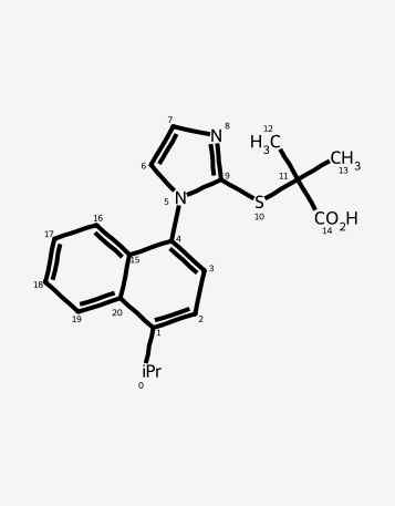 CC(C)c1ccc(-n2ccnc2SC(C)(C)C(=O)O)c2ccccc12